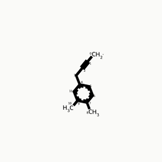 [CH2]C#CCc1ccc(C)c(C)c1